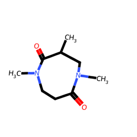 CC1CN(C)C(=O)CCN(C)C1=O